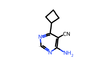 N#Cc1c(N)n[c]nc1C1CCC1